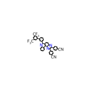 N#Cc1ccc(-c2nc3ccc4c(-c5cccc(-c6cc(C(F)(F)F)cc(C(F)(F)F)c6)c5)nc5ccccc5c4c3nc2-c2ccc(C#N)cc2)cc1